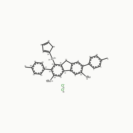 Cc1ccc(-c2cc3c(cc2C(C)(C)C)-c2cc(C(C)(C)C)c(-c4ccc(C)cc4)[c]([Zr+2][C]4=CC=CC4)c2C3)cc1.[Cl-].[Cl-]